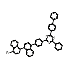 Brc1ccc(-c2ccc(-c3ccc(-c4nc(-c5ccccc5)nc(-c5ccc(-c6ccccc6)cc5)n4)cc3)c3ccccc23)c2ccccc12